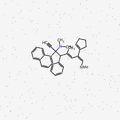 C#CC(c1cccc2ccccc12)(C(/C(C)=C/C(=C\NC)C1=CCCC1)c1ccccc1)N(C)C